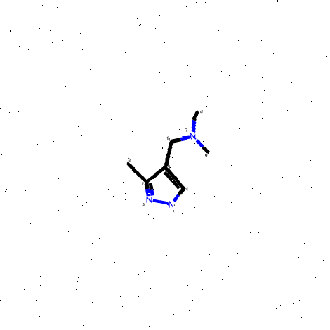 CC1=N[N]C=C1CN(C)C